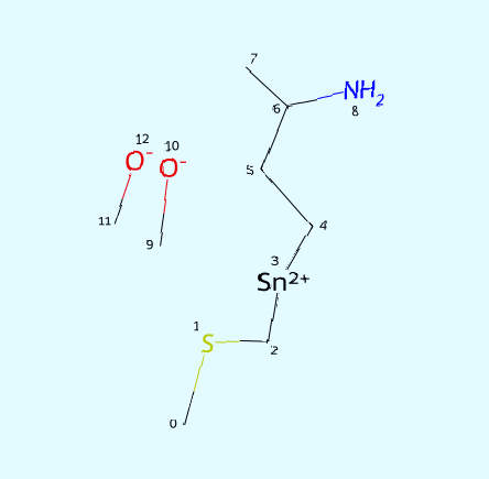 CS[CH2][Sn+2][CH2]CC(C)N.C[O-].C[O-]